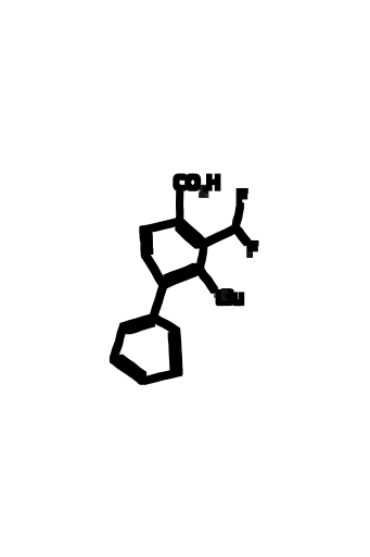 CC(C)(C)c1c(-c2ccccc2)ccc(C(=O)O)c1C(F)F